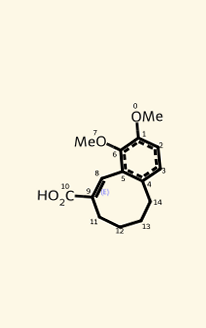 COc1ccc2c(c1OC)/C=C(/C(=O)O)CCCC2